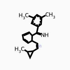 Cc1cc(C)cc(C(=N)C2C=CC=CC2/C=C\C2CC2C)c1